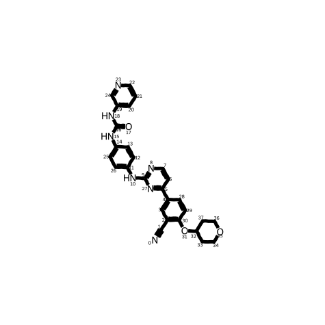 N#Cc1cc(-c2ccnc(Nc3ccc(NC(=O)Nc4cccnc4)cc3)n2)ccc1OC1CCOCC1